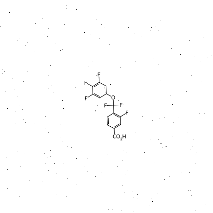 O=C(O)c1ccc(C(F)(F)Oc2cc(F)c(F)c(F)c2)c(F)c1